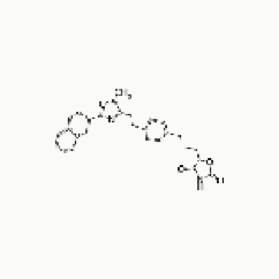 Cc1oc(-c2ccc3ccccc3c2)nc1CCc1ccc(CCCC2OC(=O)NC2=O)cc1